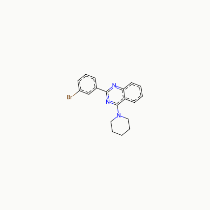 Brc1cccc(-c2nc(N3CCCCC3)c3ccccc3n2)c1